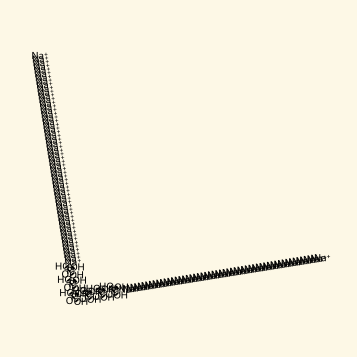 O=P(O)(O)O.O=P(O)(O)O.O=P(O)(O)O.O=P(O)(O)O.O=P(O)(O)O.O=P(O)(O)O.[Na+].[Na+].[Na+].[Na+].[Na+].[Na+].[Na+].[Na+].[Na+].[Na+].[Na+].[Na+].[Na+].[Na+].[Na+].[Na+].[Na+].[Na+].[Na+].[Na+].[Na+].[Na+].[Na+].[Na+].[Na+].[Na+].[Na+].[Na+].[Na+].[Na+].[Na+].[Na+].[Na+].[Na+].[Na+].[Na+].[Na+].[Na+].[Na+].[Na+].[Na+].[Na+].[Na+].[Na+].[Na+].[Na+].[Na+].[Na+].[Na+].[Na+].[Na+].[Na+].[Na+].[Na+].[Na+].[Na+].[Na+].[Na+].[Na+].[Na+].[Na+].[Na+].[Na+].[Na+].[Na+].[Na+].[Na+].[Na+].[Na+].[Na+].[Na+].[Na+].[Na+].[Na+].[Na+].[Na+].[Na+].[Na+].[Na+].[Na+].[Na+].[Na+].[Na+].[Na+].[Na+].[Na+].[Na+].[Na+].[Na+].[Na+].[Na+].[Na+].[Na+].[Na+].[Na+].[Na+].[Na+].[Na+].[Na+].[Na+].[Na+].[Na+].[Na+].[Na+].[Na+].[Na+].[Na+].[Na+].[Na+].[Na+].[Na+]